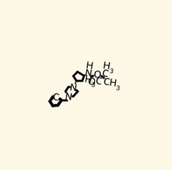 CC(C)(C)OC(=O)N[C@@H]1CC[C@H](N2CCN(Cc3ccccc3)CC2)C1